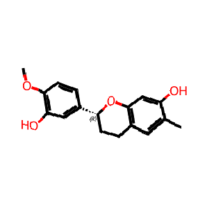 COc1ccc([C@H]2CCc3cc(C)c(O)cc3O2)cc1O